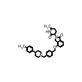 C=C1CCC(N2Cc3c(OCc4ccc(CN5CCC(c6ccc(C)cc6)CC5)cc4)cccc3C2=O)C(=O)N1